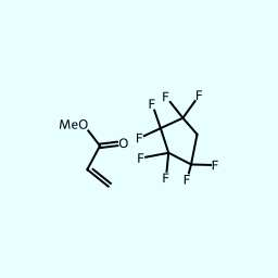 C=CC(=O)OC.FC1(F)CC(F)(F)C(F)(F)C1(F)F